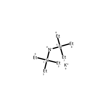 CC[Si](CC)(CC)[N-][Si](CC)(CC)CC.[K+]